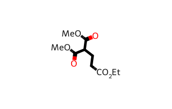 CCOC(=O)CCC(C(=O)OC)C(=O)OC